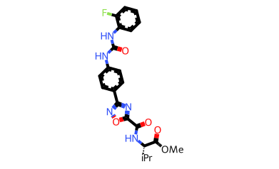 COC(=O)[C@@H](NC(=O)c1nc(-c2ccc(NC(=O)Nc3ccccc3F)cc2)no1)C(C)C